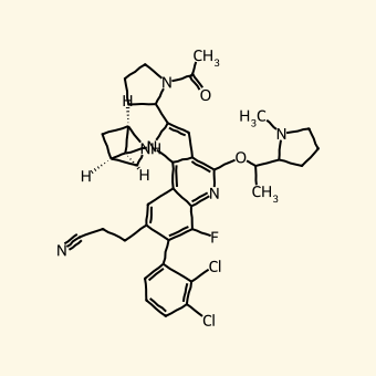 CC(=O)N1CCCC1c1cc2c(OC(C)C3CCCN3C)nc3c(F)c(-c4cccc(Cl)c4Cl)c(CCC#N)cc3c2n1[C@H]1[C@H]2CN[C@@H]1C2